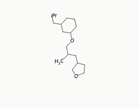 CC(C)CC1CCCC(OCC(C)CC2CCOC2)C1